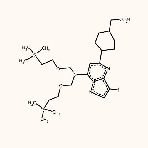 C[Si](C)(C)CCOCN(COCC[Si](C)(C)C)c1cc(C2CCC(CC(=O)O)CC2)nc2c(I)cnn12